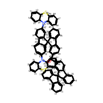 O=C(c1ccc2c(c1)C1(c3ccccc3-c3ccccc31)c1ccccc1-2)c1ccc2c(c1)C1(c3ccccc3-2)c2cc(N3c4ccccc4SC4C=CC=CC43)ccc2-c2ccc(N3c4ccccc4SC4C=CC=CC43)cc21